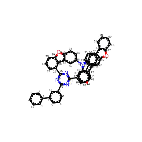 c1ccc(-c2cccc(-c3nc(-c4cccc(-c5ccccc5)c4)nc(-c4cccc5oc6ccc(-n7c8ccccc8c8cc9oc%10ccccc%10c9cc87)cc6c45)n3)c2)cc1